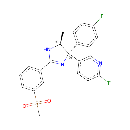 C[C@@H]1NC(c2cccc(S(C)(=O)=O)c2)=N[C@]1(c1ccc(F)cc1)c1ccc(F)nc1